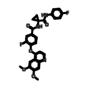 COc1cc2nccc(Oc3ccc(C(=O)NC4(C(=O)Nc5ccc(F)cc5)CC4)cc3F)c2cc1OC